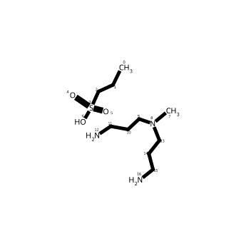 CCCS(=O)(=O)O.CN(CCCN)CCCN